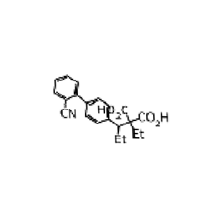 CCC(c1ccc(-c2ccccc2C#N)cc1)C(CC)(C(=O)O)C(=O)O